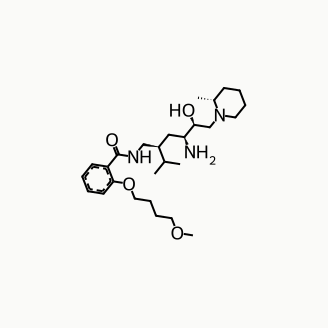 COCCCCOc1ccccc1C(=O)NC[C@@H](C[C@H](N)[C@@H](O)CN1CCCC[C@H]1C)C(C)C